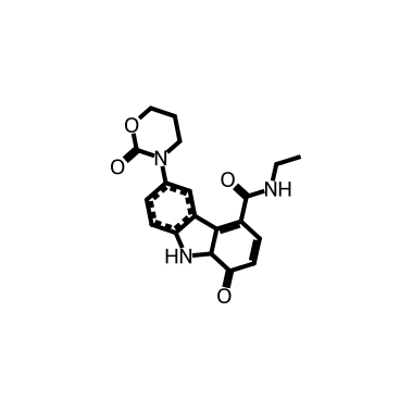 CCNC(=O)C1=C2c3cc(N4CCCOC4=O)ccc3NC2C(=O)C=C1